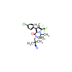 Cc1c(-c2ccc(Cl)cc2)c(C(=O)N(C)CC(C)(C)C#N)n(C(C)C)c1C(F)(F)F